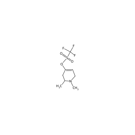 CC1CC(OS(=O)(=O)C(F)(F)F)=CCN1C